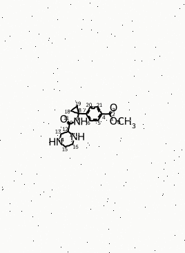 COC(=O)c1ccc(C2(NC(=O)C3CNCCN3)CC2)cc1